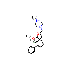 COC(=O)C1(CCCN2CCN(C)CC2)C=CC=C(c2ccccc2)C1(C)Br